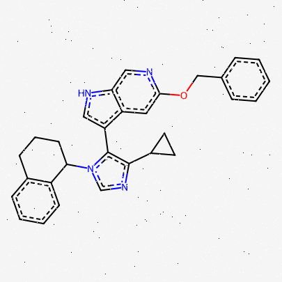 c1ccc(COc2cc3c(-c4c(C5CC5)ncn4C4CCCc5ccccc54)c[nH]c3cn2)cc1